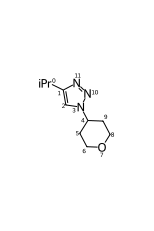 CC(C)c1cn(C2CCOCC2)nn1